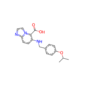 CC(C)Oc1ccc(CNc2ccc3nccn3c2C(=O)O)cc1